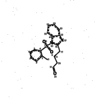 Cc1ccccc1S(=O)(=O)n1c(CCCC=O)nc2ccccc21